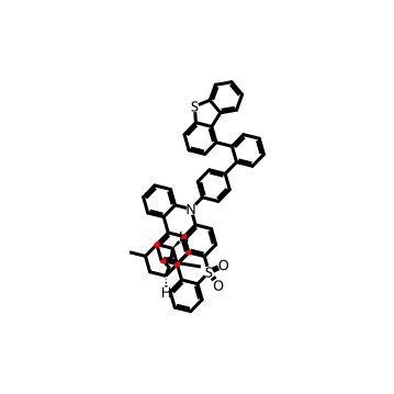 CC1C[C@H]2CC(C)C[C@H](C1)C21c2ccccc2S(=O)(=O)c2ccc(N(c3ccc(-c4ccccc4-c4cccc5sc6ccccc6c45)cc3)c3ccccc3-c3ccccc3)cc21